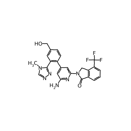 Cn1cnnc1-c1cc(CO)ccc1-c1cc(N)nc(N2Cc3c(cccc3C(F)(F)F)C2=O)c1